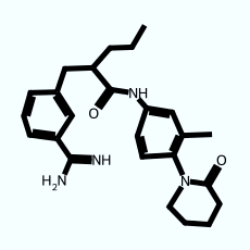 CCCC(Cc1cccc(C(=N)N)c1)C(=O)Nc1ccc(N2CCCCC2=O)c(C)c1